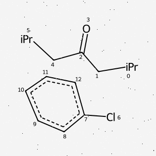 CC(C)CC(=O)CC(C)C.Clc1ccccc1